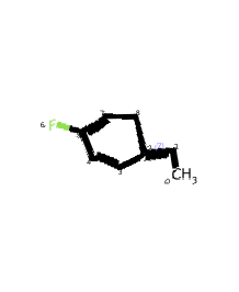 C/C=C1\C=CC(F)=CC1